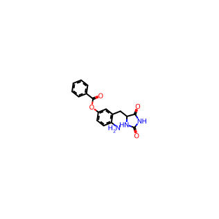 Nc1ccc(OC(=O)c2ccccc2)cc1CC1NC(=O)NC1=O